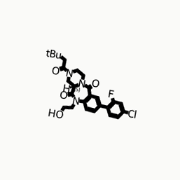 CC(C)(C)CC(=O)N1CCN2C(=O)c3cc(-c4ccc(Cl)cc4F)ccc3N(CCO)C(=O)[C@@H]2C1